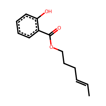 CC=CCCCOC(=O)c1ccccc1O